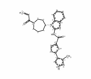 C=CC(=O)N1CCC[C@@H](n2c(NC(=O)c3ccc(-c4c[nH]nc4C)s3)nc3ccccc32)CC1